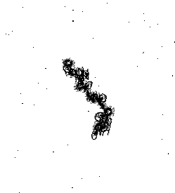 Nc1ncnc2c1c(-c1ccc(Oc3ccccc3)cc1)nn2[C@@H]1CCCN(C(=O)CCCN2CCN(C(=O)CCSc3cccc4c3C(=O)N(C3CCC(=O)NC3=O)C4=O)CC2)C1